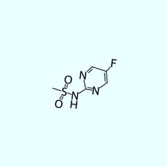 CS(=O)(=O)Nc1ncc(F)cn1